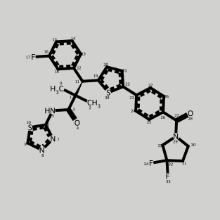 CC(C)(C(=O)Nc1nncs1)[C@@H](c1cccc(F)c1)c1ccc(-c2ccc(C(=O)N3CCC(F)(F)C3)cc2)s1